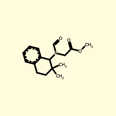 COC(=O)CN(C=O)C1c2ccccc2CCC1(C)C